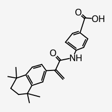 C=C(C(=O)Nc1ccc(C(=O)O)cc1)c1ccc2c(c1)C(C)(C)CCC2(C)C